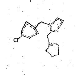 Clc1ccc(Cn2ccnc2CN2CCCC2)cc1